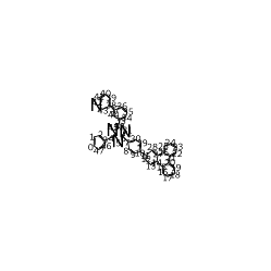 c1ccc(-c2nc(-c3ccc(-c4ccc5c6ccccc6c6ccccc6c5c4)cc3)nc(-c3cccc(-c4cccnc4)c3)n2)cc1